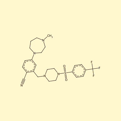 CN1CCCN(c2ccc(C#N)c(CN3CCN(S(=O)(=O)c4ccc(C(F)(F)F)cc4)CC3)c2)CC1